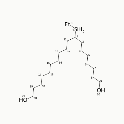 CC[SiH2]C(CCCCCCCO)CCCCCCCCCCO